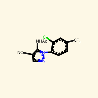 CC(=O)Nc1c(C#N)cnn1-c1ccc(C(F)(F)F)cc1Cl